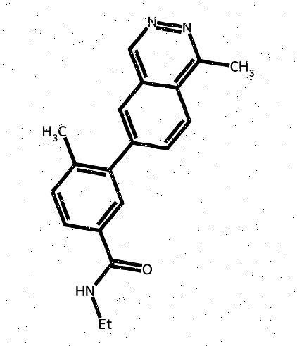 CCNC(=O)c1ccc(C)c(-c2ccc3c(C)nncc3c2)c1